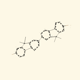 CC1(C)c2cc(Br)ccc2-c2ccc(-c3ccc4c(c3)C(C)(C)c3cc(Br)ccc3-4)cc21